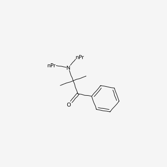 CCCN(CCC)C(C)(C)C(=O)c1ccccc1